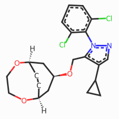 Clc1cccc(Cl)c1-n1ncc(C2CC2)c1CO[C@@H]1C[C@H]2CC[C@@H](C1)OCCO2